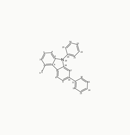 Ic1cccc2c1c1ccc(-c3ccccc3)cc1n2-c1ccccc1